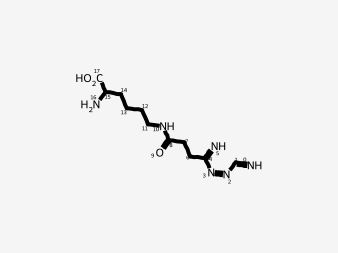 N=C/N=N\C(=N)CCC(=O)NCCCCC(N)C(=O)O